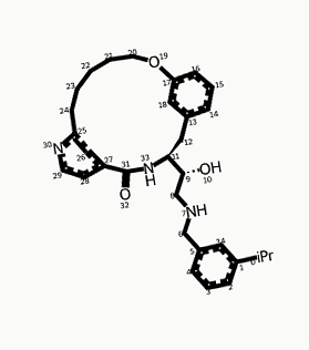 CC(C)c1cccc(CNC[C@@H](O)[C@@H]2Cc3cccc(c3)OCCCCCc3cc(ccn3)C(=O)N2)c1